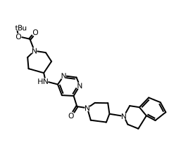 CC(C)(C)OC(=O)N1CCC(Nc2cc(C(=O)N3CCC(N4CCc5ccccc5C4)CC3)ncn2)CC1